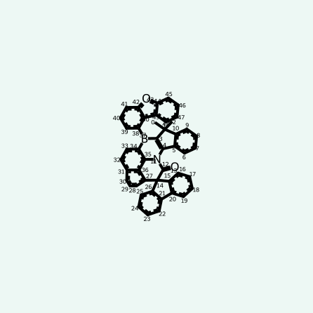 CC1(C)C2=C(c3ccccc31)N1C(=O)C3(c4ccccc4-c4ccccc43)c3cccc4ccc(c1c34)B2c1cccc2oc3ccccc3c12